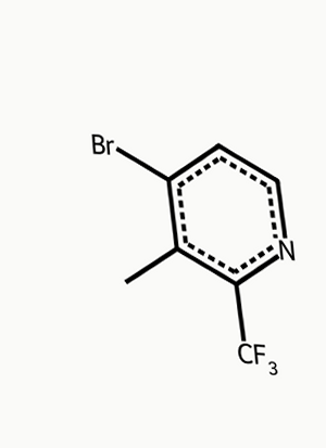 Cc1c(Br)ccnc1C(F)(F)F